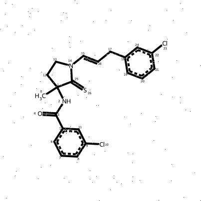 CC1(NC(=O)c2cccc(Cl)c2)CCN(C=CCc2cccc(Cl)c2)C1=S